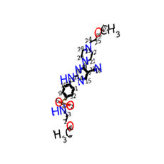 COCCNS(=O)(=O)c1ccc(Nc2ncc(C#N)c(N3CCN(CCOC)CC3)n2)cc1